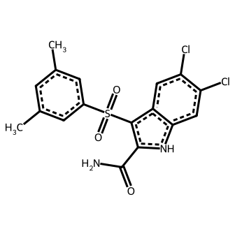 Cc1cc(C)cc(S(=O)(=O)c2c(C(N)=O)[nH]c3cc(Cl)c(Cl)cc23)c1